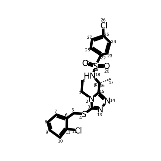 CCn1c(SCc2ccccc2Cl)nnc1[C@@H](C)NS(=O)(=O)c1ccc(Cl)cc1